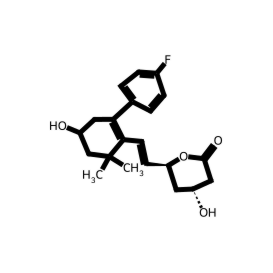 CC1(C)CC(O)CC(c2ccc(F)cc2)=C1/C=C/[C@@H]1C[C@@H](O)CC(=O)O1